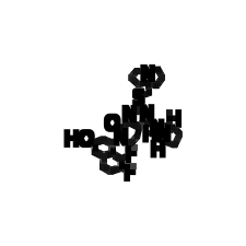 O=C1c2nc(SCC34CCCN3CCC4)nc(N3C[C@H]4CC[C@@H](C3)N4)c2CCN1c1cc(O)cc2ccc(F)c(F)c12